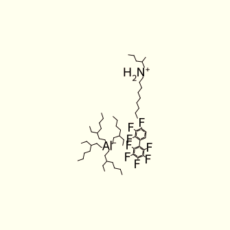 CCCCC(CC)C[CH2][Al-]([CH2]CC(CC)CCCC)([CH2]CC(CC)CCCC)[CH2]CC(CC)CCCC.CCCCCCCCC[NH2+]CC(C)CCC.Fc1ccc(-c2c(F)c(F)c(F)c(F)c2F)c(F)c1F